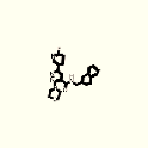 O=C(NCc1ccc2ccccc2c1)c1cc(-c2ccc(F)nc2)nnc1N1CCOCC1